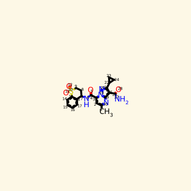 Cc1cc(C(=O)NC2CCS(=O)(=O)c3ccccc32)n2nc(C3CC3)c(C(N)=O)c2n1